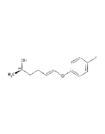 C[C@@H](O)CCC=COc1ccc(F)cc1